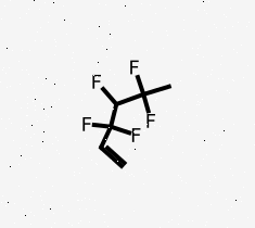 C=CC(F)(F)C(F)C(C)(F)F